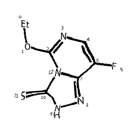 CCOc1ncc(F)c2n[nH]c(=S)n12